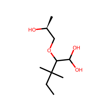 CCC(C)(C)C(OC[C@H](C)O)C(O)O